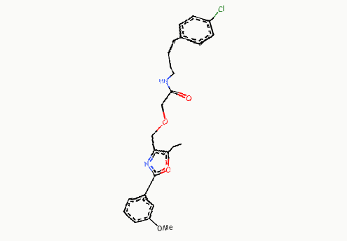 COc1cccc(-c2nc(COCC(=O)NCCc3ccc(Cl)cc3)c(C)o2)c1